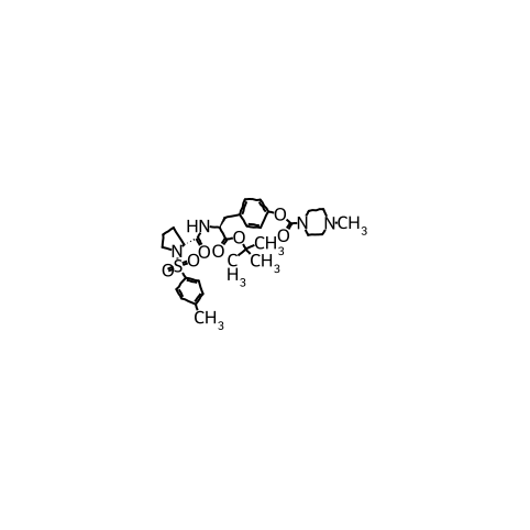 Cc1ccc(S(=O)(=O)N2CCC[C@@H]2C(=O)N[C@@H](Cc2ccc(OC(=O)N3CCN(C)CC3)cc2)C(=O)OC(C)(C)C)cc1